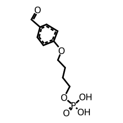 O=Cc1ccc(OCCCCOP(=O)(O)O)cc1